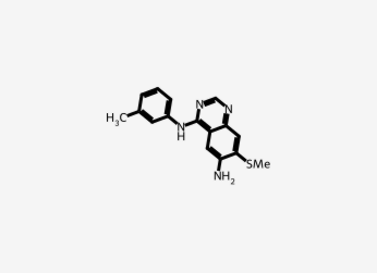 CSc1cc2ncnc(Nc3cccc(C)c3)c2cc1N